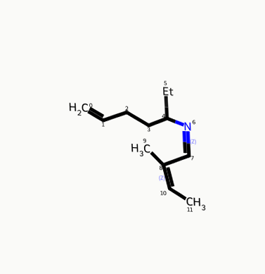 C=CCCC(CC)/N=C\C(C)=C/C